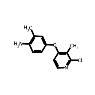 Cc1cc(Oc2ccnc(Cl)c2C)ccc1N